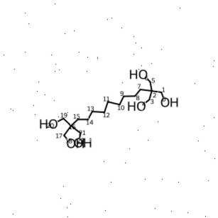 OCC(CO)(CO)CCCCCCCCCC(CO)(CO)CO